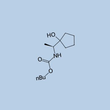 CCCCOC(=O)N[C@@H](C)C1(O)CCCC1